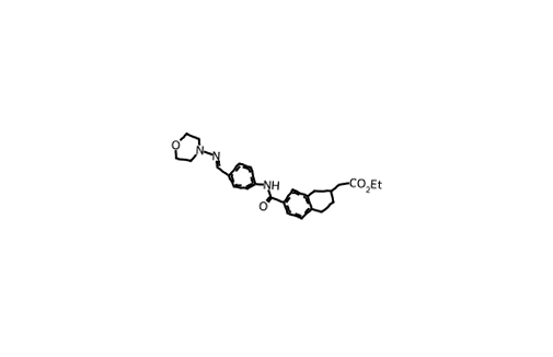 CCOC(=O)CC1CCc2ccc(C(=O)Nc3ccc(C=NN4CCOCC4)cc3)cc2C1